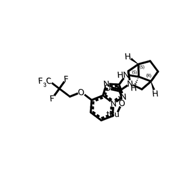 CC(C)(C)OC(=O)N1C[C@H]2CC[C@@H](C1)[C@@H]2Nc1nc2c(OCC(F)(F)C(F)(F)F)cccn2n1